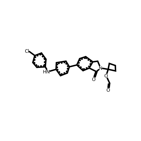 O=COC1(N2Cc3ccc(-c4ccc(Nc5ccc(Cl)cc5)cc4)cc3C2=O)CCC1